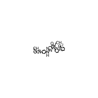 C=CCn1c(=O)c2cnc(Nc3ccc(N4CC5CCN(C)C5C4)cc3)nc2n1-c1cccc(-n2ccccc2=O)n1